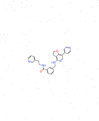 O=C(NCCc1cccnc1)c1cccc(CNc2ncc(-c3ccncc3)c3c2CCO3)c1